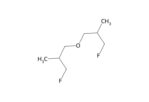 CC(CF)COCC(C)CF